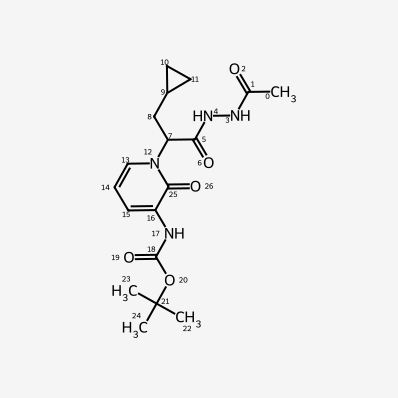 CC(=O)NNC(=O)C(CC1CC1)n1cccc(NC(=O)OC(C)(C)C)c1=O